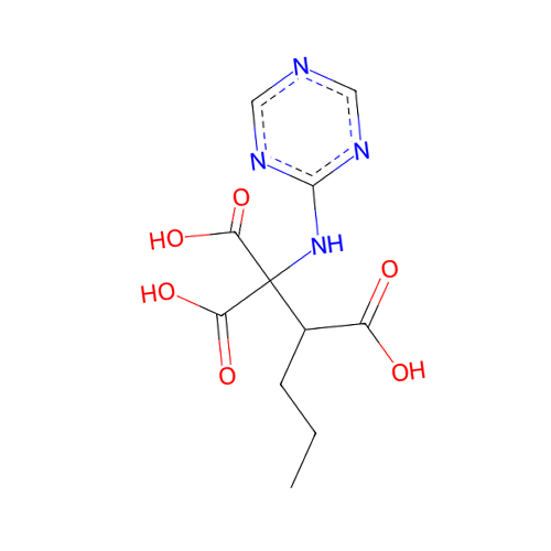 CCCC(C(=O)O)C(Nc1ncncn1)(C(=O)O)C(=O)O